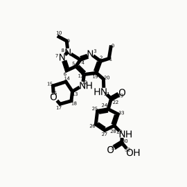 CCc1nc2c(cnn2CC)c(NC2CCOCC2)c1CNC(=O)c1cccc(NC(=O)O)c1